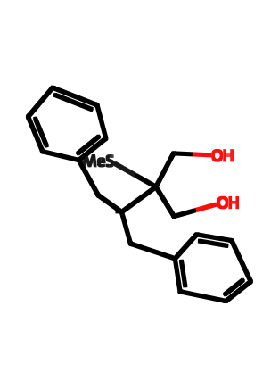 CSC(CO)(CO)[C](Cc1ccccc1)Cc1ccccc1